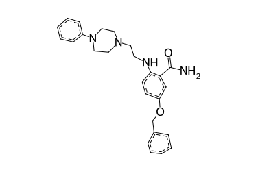 NC(=O)c1cc(OCc2ccccc2)ccc1NCCN1CCN(c2ccccc2)CC1